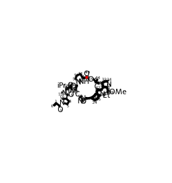 C=CC(=O)N1CC[C@H](C(=O)N(C)[C@H](C(=O)N[C@H]2Cc3noc(n3)-c3ccc4c(c3)c(c(-c3cccnc3[C@H](C)OC)n4CC)CC(C)(C)COC(=O)[C@@H]3CCCN(N3)C2=O)C(C)C)C1